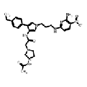 CCc1ccc(-c2cn(CCCNc3ccc([N+](=O)[O-])c(N)n3)cc2NC(=O)CN2CC[C@@H](NC(C)=O)C2)cc1